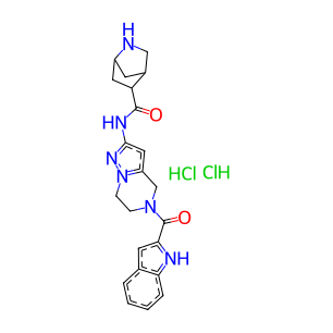 Cl.Cl.O=C(Nc1cc2n(n1)CCN(C(=O)c1cc3ccccc3[nH]1)C2)C1CC2CC1CN2